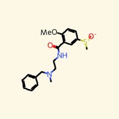 COc1ccc([S+](C)[O-])cc1C(=O)NCCN(C)Cc1ccccc1